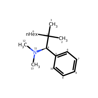 CCCCCCC(C)(C)[C@@H](c1ccccc1)N(C)C